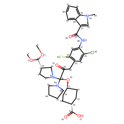 COC(OC)[C@H]1CCN(C(O[C@H]2CC[C@H](C(=O)O)CC2)(C(=O)Cc2cc(Cl)c(NC(=O)c3cn(C)c4ccccc34)cc2F)N2CCCC2)C1